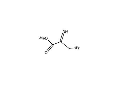 [CH2]C(C)CC(=N)C(=O)OC